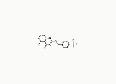 O=c1oc(SCc2ccc(C(F)(F)F)cc2)nc2cccc(F)c12